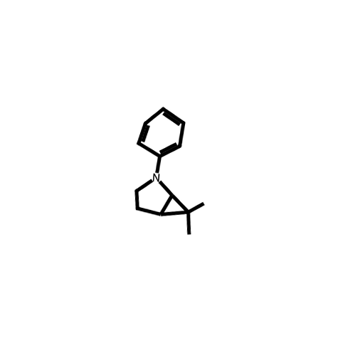 CC1(C)C2CCN(c3ccccc3)C21